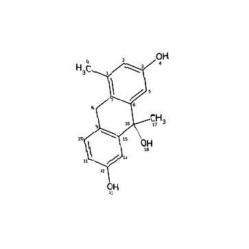 Cc1cc(O)cc2c1Cc1ccc(O)cc1C2(C)O